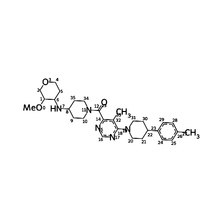 COC1COCCC1NC1CCN(C(=O)c2ncnc(N3CCC(c4ccc(C)cc4)CC3)c2C)CC1